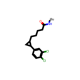 CCC(C)NC(=O)CCCCC1CC1c1ccc(Cl)c(Cl)c1